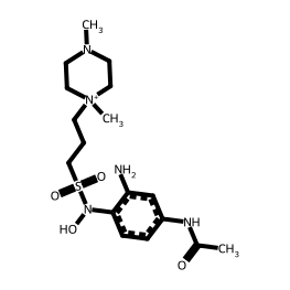 CC(=O)Nc1ccc(N(O)S(=O)(=O)CCC[N+]2(C)CCN(C)CC2)c(N)c1